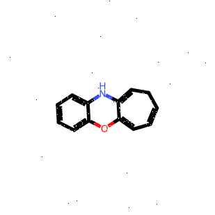 C1=CCC=C2Nc3ccccc3OC2=C1